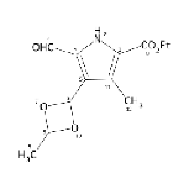 CCOC(=O)c1[nH]c(C=O)c(C2OC(C)O2)c1C